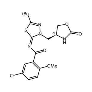 COc1ccc(Cl)cc1C(=O)N=c1sc(C(C)(C)C)nn1C[C@H]1COC(=O)N1